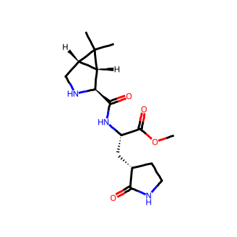 COC(=O)[C@H](C[C@@H]1CCNC1=O)NC(=O)[C@H]1NC[C@H]2[C@@H]1C2(C)C